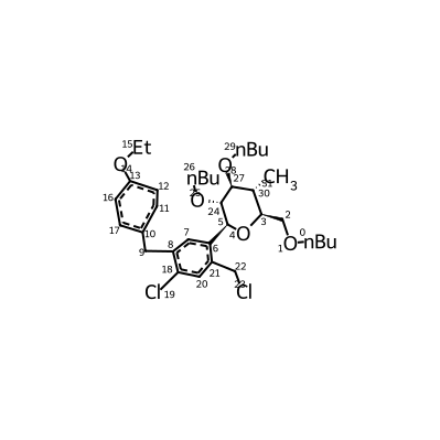 CCCCOC[C@H]1O[C@@H](c2cc(Cc3ccc(OCC)cc3)c(Cl)cc2CCl)[C@H](OCCCC)[C@@H](OCCCC)[C@@H]1C